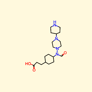 O=CN(C1CCC(CCC(=O)O)CC1)N1CCN(C2CCNCC2)CC1